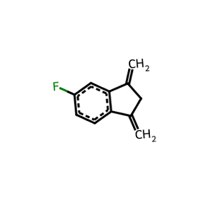 C=C1CC(=C)c2cc(F)ccc21